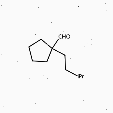 CC(C)CCC1(C=O)CCCC1